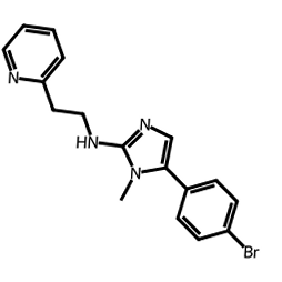 Cn1c(-c2ccc(Br)cc2)cnc1NCCc1ccccn1